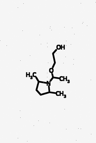 CC1CCC(C)N1C(C)OCCO